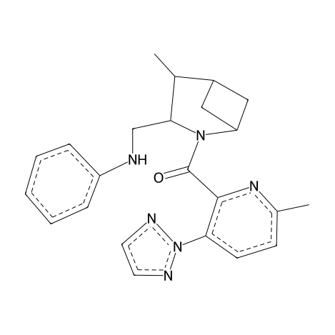 Cc1ccc(-n2nccn2)c(C(=O)N2C3CC(C3)C(C)C2CNc2ccccc2)n1